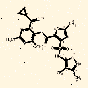 Cc1cc(C)c(NC(=O)c2sc(C)cc2S(=O)(=O)Nc2onc(C)c2Cl)c(C(=O)C2CC2)c1